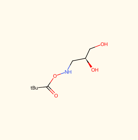 CC(C)(C)C(=O)ONC[C@H](O)CO